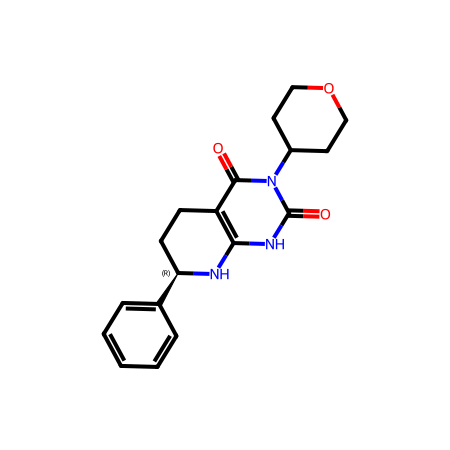 O=c1[nH]c2c(c(=O)n1C1CCOCC1)CC[C@H](c1ccccc1)N2